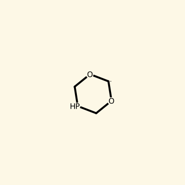 [CH]1OCPCO1